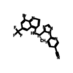 C[C@H](Nc1ccnc2c(Br)cc(C(F)(F)F)cc12)c1ncnn1-c1ccc(C#N)cn1